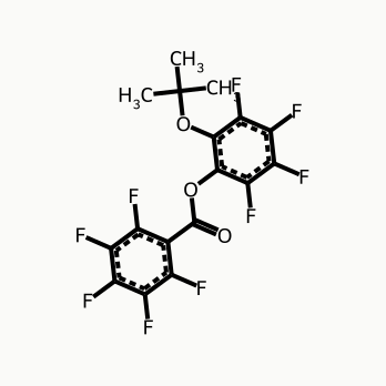 CC(C)(C)Oc1c(F)c(F)c(F)c(F)c1OC(=O)c1c(F)c(F)c(F)c(F)c1F